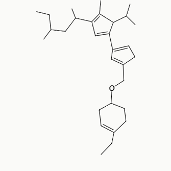 CCC1=CCC(OCC2=CC(C3=CC(C(C)CC(C)CC)=C(C)C3C(C)C)=CC2)CC1